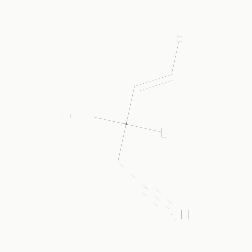 C#CCC(C=O)(C=CCC)CC